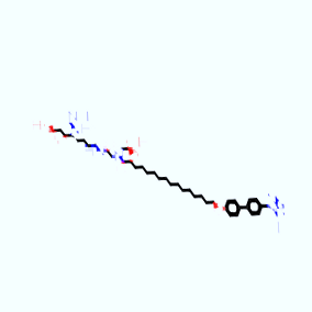 NCN[C@@H](CCCCNC(=O)CN(CC(=O)O)C(=O)CCCCCCCCCCCCCCCOc1ccc(-c2ccc(-c3nnn[nH]3)cc2)cc1)C(=O)CC(=O)O